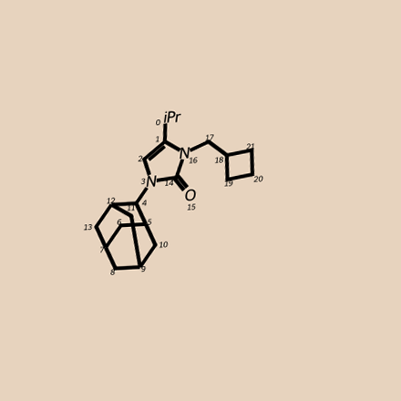 CC(C)c1cn(C2C3CC4CC(C3)CC2C4)c(=O)n1CC1CCC1